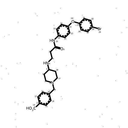 O=C(CCNC1CCN(Cc2ccc(C(=O)O)cc2)CC1)Nc1ccc(Oc2ccc(Br)cc2)cc1